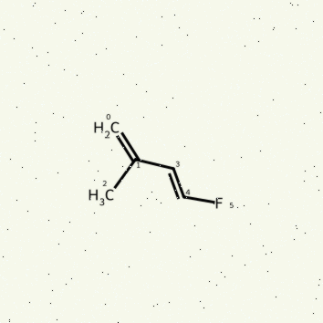 C=C(C)C=CF